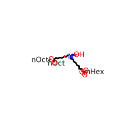 CCCCCCCCC(CCCCCCCC)OC(=O)CCCCCCCN(CCO)CCCCCCCCOC(=O)OCCCCCC